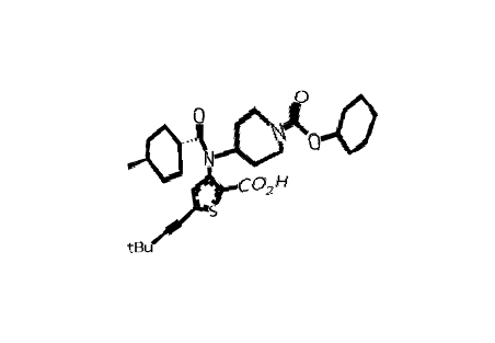 CC(C)(C)C#Cc1cc(N(C(=O)[C@H]2CC[C@H](C)CC2)C2CCN(C(=O)OC3CCCCC3)CC2)c(C(=O)O)s1